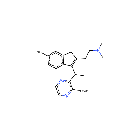 COc1nccnc1C(C)C1=C(CCN(C)C)Cc2cc(C#N)ccc21